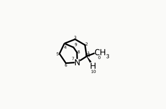 C[C@H]1CCC2CCN1CC2